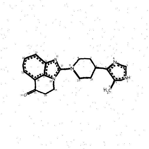 Cc1[nH]cnc1C1CCN(c2nc3cccc4c3n2CCC4=O)CC1